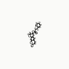 CC1(C)Oc2cc3oc(=O)ccc3cc2C[C@@H]1OC(=O)CCc1ccccn1